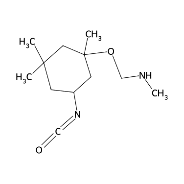 CNCOC1(C)CC(N=C=O)CC(C)(C)C1